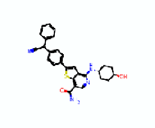 N#CC(c1ccccc1)c1ccc(-c2cc3c(N[C@H]4CC[C@H](O)CC4)ncc(C(N)=O)c3s2)cc1